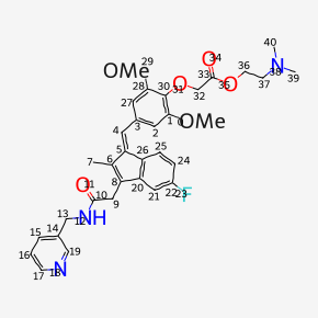 COc1cc(/C=C2/C(C)=C(CC(=O)NCc3cccnc3)c3cc(F)ccc32)cc(OC)c1OCC(=O)OCCN(C)C